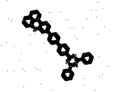 c1ccc(-c2nc(-c3ccccc3)nc(-c3ccc(-c4ccc(-c5ccc6c(c5)Sc5cccc7cccc-6c57)cc4)cc3)n2)cc1